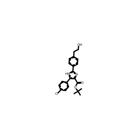 CC(C)(C)OC(=O)c1nc(-c2ccc(CCO)cc2)[nH]c1-c1ccc(Cl)cc1